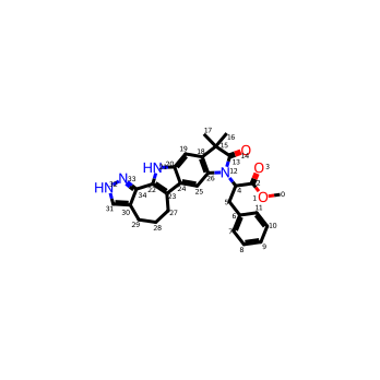 COC(=O)C(Cc1ccccc1)N1C(=O)C(C)(C)c2cc3[nH]c4c(c3cc21)CCCc1c[nH]nc1-4